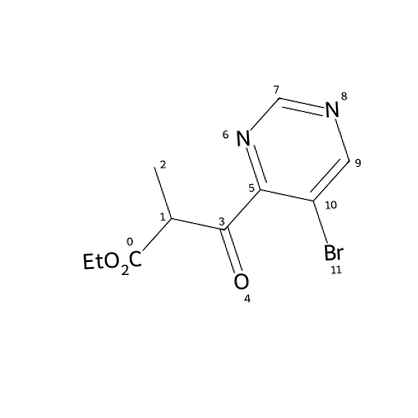 CCOC(=O)C(C)C(=O)c1ncncc1Br